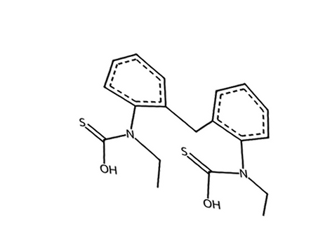 CCN(C(O)=S)c1ccccc1Cc1ccccc1N(CC)C(O)=S